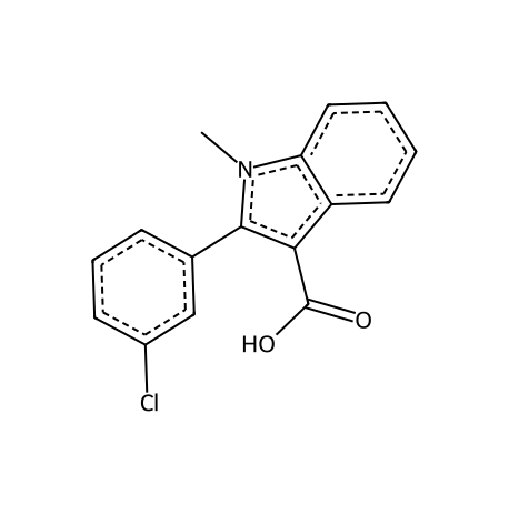 Cn1c(-c2cccc(Cl)c2)c(C(=O)O)c2ccccc21